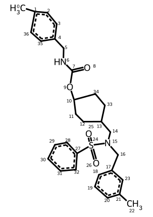 Cc1ccc(CNC(=O)OC2CCC(CN(Cc3cccc(C)c3)S(=O)(=O)c3ccccc3)CC2)cc1